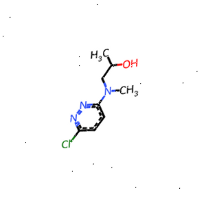 CC(O)CN(C)c1ccc(Cl)nn1